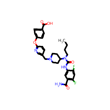 CCCCN(C(=O)Nc1cc(C(N)=O)c(F)cc1F)C1CCN(Cc2ccc(Oc3ccc(C(=O)O)cc3)nc2)CC1